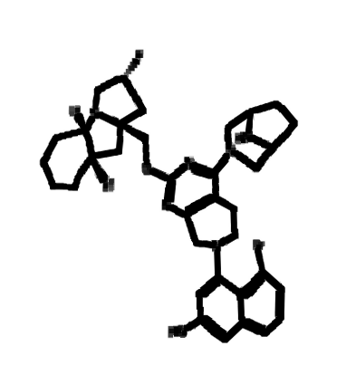 Oc1cc(N2CCc3c(nc(OC[C@]45C[C@@H](F)CN4[C@H]4CCCC[C@H]4C5)nc3N3CC4CCC(C3)N4)C2)c2c(Br)cccc2c1